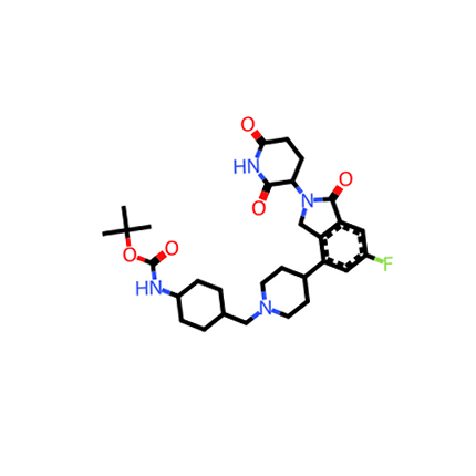 CC(C)(C)OC(=O)NC1CCC(CN2CCC(c3cc(F)cc4c3CN(C3CCC(=O)NC3=O)C4=O)CC2)CC1